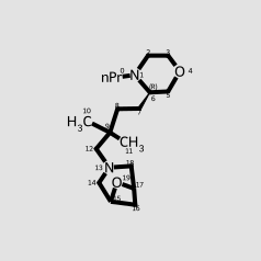 CCCN1CCOC[C@H]1CCC(C)(C)CN1CC2CC(C1)O2